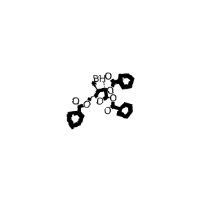 B=C[C@@H]1[C@@H](COC(=O)c2ccccc2)O[C@@H](OC(=O)c2ccccc2)[C@]1(C)OC(=O)c1ccccc1